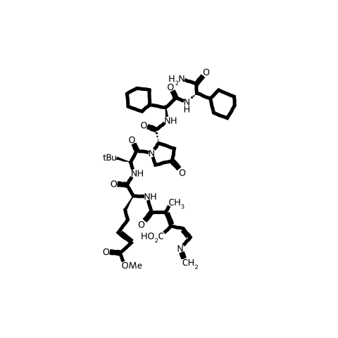 C=N/C=C\C(C(=O)O)=C(/C)C(=O)N[C@@H](CC/C=C/C(=O)OC)C(=O)N[C@H](C(=O)N1CC(=O)C[C@H]1C(=O)N[C@H](C(=O)N[C@H](C(N)=O)C1CCCCC1)C1CCCCC1)C(C)(C)C